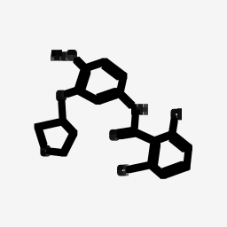 COc1ccc(NC(=O)c2c(Cl)cccc2Cl)cc1OC1CCOC1